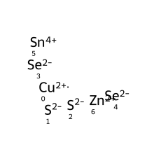 [Cu+2].[S-2].[S-2].[Se-2].[Se-2].[Sn+4].[Zn+2]